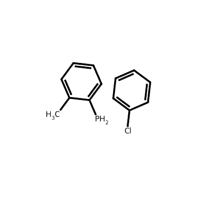 Cc1ccccc1P.Clc1ccccc1